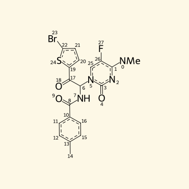 CNc1nc(=O)n(C(NC(=O)c2ccc(C)cc2)C(=O)c2ccc(Br)s2)cc1F